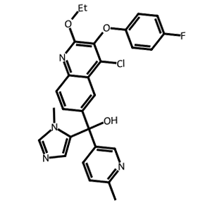 CCOc1nc2ccc(C(O)(c3ccc(C)nc3)c3cncn3C)cc2c(Cl)c1Oc1ccc(F)cc1